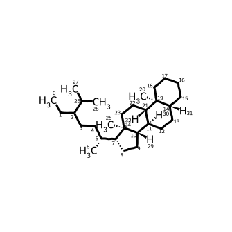 CCC(CC[C@@H](C)[C@H]1CC[C@H]2[C@@H]3CC[C@H]4CCCC[C@]4(C)[C@H]3CC[C@]12C)C(C)C